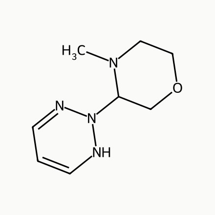 CN1CCOCC1N1N=CC=CN1